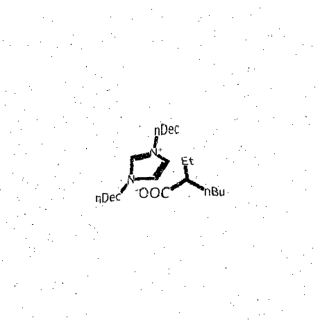 CCCCC(CC)C(=O)[O-].CCCCCCCCCCn1cc[n+](CCCCCCCCCC)c1